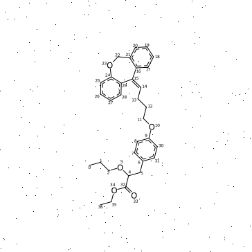 CCCOC(Cc1ccc(OCCC/C=C2/c3ccccc3COc3ccccc32)cc1)C(=O)OCC